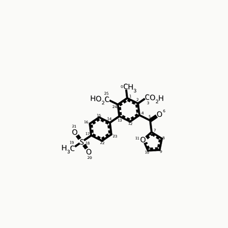 Cc1c(C(=O)O)c(C(=O)c2ccco2)cc(-c2ccc(S(C)(=O)=O)cc2)c1C(=O)O